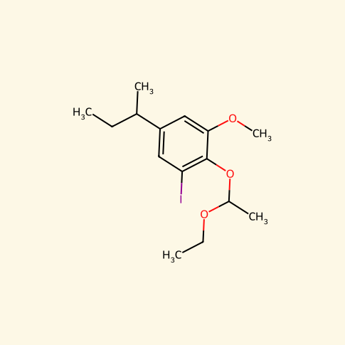 CCOC(C)Oc1c(I)cc(C(C)CC)cc1OC